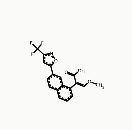 CO/C=C(\C(=O)O)c1cccc2ccc(-c3cc(C(F)(F)F)no3)cc12